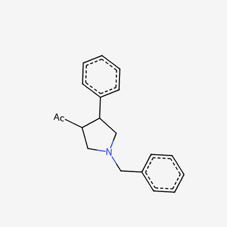 CC(=O)C1CN(Cc2ccccc2)CC1c1ccccc1